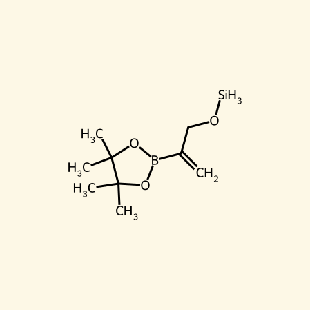 C=C(CO[SiH3])B1OC(C)(C)C(C)(C)O1